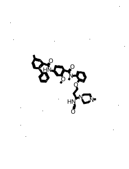 COc1cc(NC(=O)c2cc(C)ccc2-c2ccccc2)ccc1C(=O)N(C)c1ccccc1OCCC(NC=O)N1CCN(C)CC1